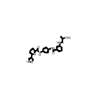 C=C(C=O)CNc1cccc(C(=O)Nc2ccc(NC(=O)c3cccc(-c4cn[nH]c4)n3)cc2)c1